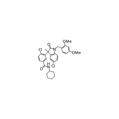 COc1ccc(CN2C(=O)C(C)(c3cc(C(=O)NC4CCCCC4)ccc3Cl)c3cc(Cl)ccc32)c(OC)c1